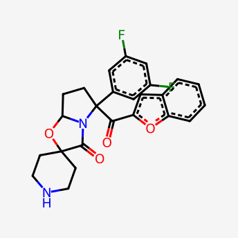 O=C1N2C(CCC2(C(=O)c2cc3ccccc3o2)c2cc(F)cc(F)c2)OC12CCNCC2